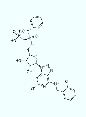 O=P(O)(O)C[P@@](=O)(OC[C@H]1O[C@@H](n2nnc3c(NCc4ccccc4Cl)nc(Cl)nc32)[C@H](O)[C@@H]1O)Oc1ccccc1